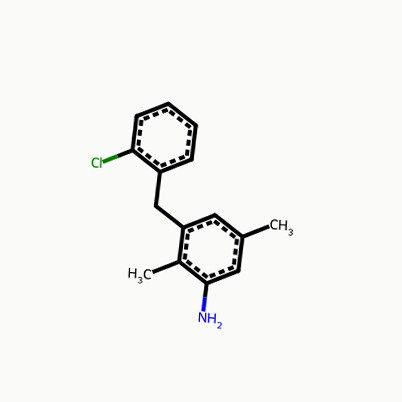 Cc1cc(N)c(C)c(Cc2ccccc2Cl)c1